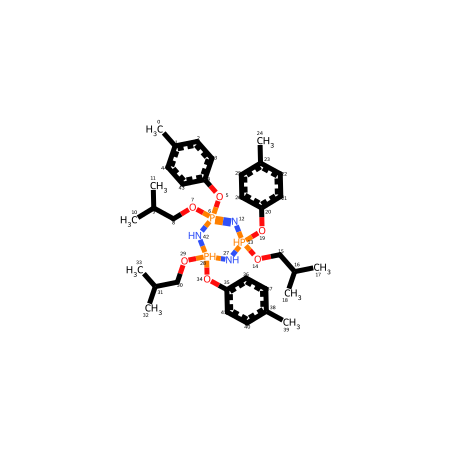 Cc1ccc(OP2(OCC(C)C)=N[PH](OCC(C)C)(Oc3ccc(C)cc3)N[PH](OCC(C)C)(Oc3ccc(C)cc3)N2)cc1